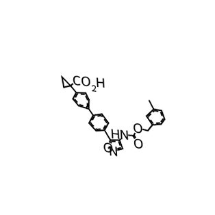 Cc1cccc(COC(=O)Nc2cnoc2-c2ccc(-c3ccc(C4(C(=O)O)CC4)cc3)cc2)c1